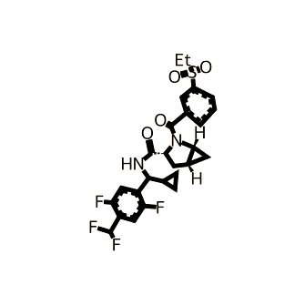 CCS(=O)(=O)c1cccc(C(=O)N2[C@@H](C(=O)NC(c3cc(F)c(C(F)F)cc3F)C3CC3)C[C@H]3C[C@H]32)c1